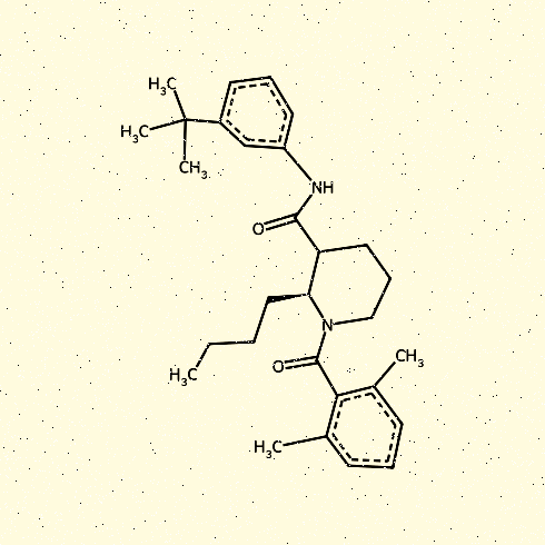 CCCC[C@H]1C(C(=O)Nc2cccc(C(C)(C)C)c2)CCCN1C(=O)c1c(C)cccc1C